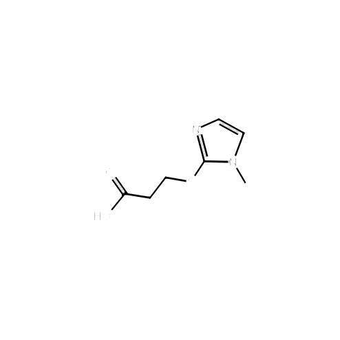 Cn1ccnc1SCCC(=O)O